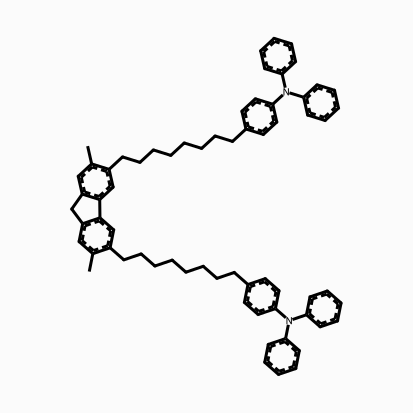 Cc1cc2c(cc1CCCCCCCCc1ccc(N(c3ccccc3)c3ccccc3)cc1)-c1cc(CCCCCCCCc3ccc(N(c4ccccc4)c4ccccc4)cc3)c(C)cc1C2